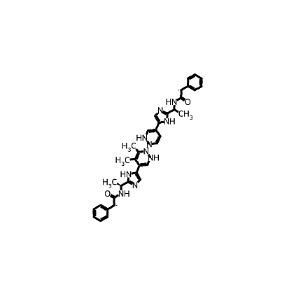 CC1=C(C)N(N2C=CC(c3cnc(C(C)NC(=O)[CH]c4ccccc4)[nH]3)=CN2)NC=C1c1cnc([C@H](C)NC(=O)[CH]c2ccccc2)[nH]1